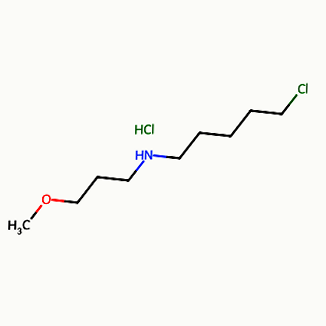 COCCCNCCCCCCl.Cl